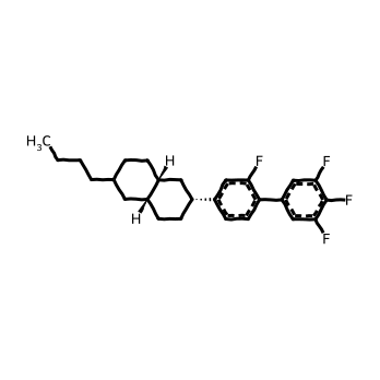 CCCCC1CC[C@@H]2C[C@H](c3ccc(-c4cc(F)c(F)c(F)c4)c(F)c3)CC[C@@H]2C1